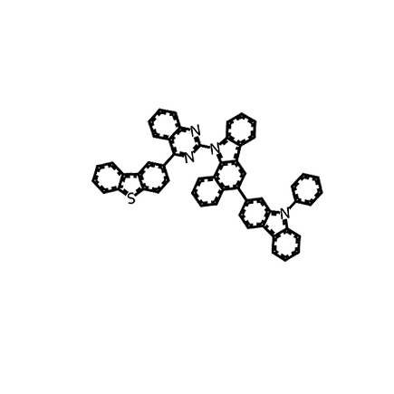 c1ccc(-n2c3ccccc3c3ccc(-c4cc5c6ccccc6n(-c6nc(-c7ccc8sc9ccccc9c8c7)c7ccccc7n6)c5c5ccccc45)cc32)cc1